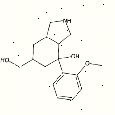 COc1ccccc1C1(O)CC(CO)CC2CNCC21